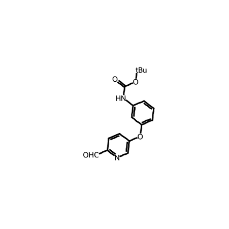 CC(C)(C)OC(=O)Nc1cccc(Oc2ccc(C=O)nc2)c1